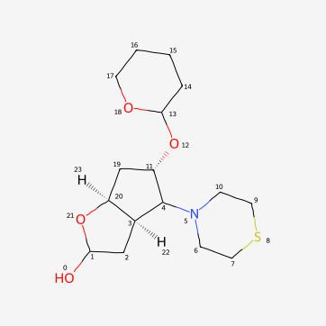 OC1C[C@@H]2C(N3CCSCC3)[C@@H](OC3CCCCO3)C[C@@H]2O1